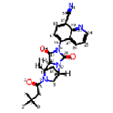 CC(C)(C)CC(=O)N1C[C@@H]2C[C@H]1[C@H]1C(=O)N(c3ccc(C#N)c4ncccc34)C(=O)N21